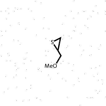 COCC1CS1